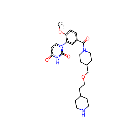 O=C(c1ccc(OC(F)(F)F)c(-n2ccc(=O)[nH]c2=O)c1)N1CCC(COCCC2CCNCC2)CC1